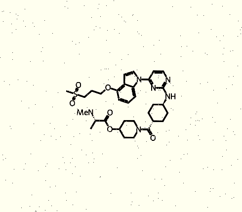 CN[C@@H](C)C(=O)OC1CCN(C(=O)[C@H]2CC[C@H](Nc3nccc(-n4ccc5c(OCCCS(C)(=O)=O)cccc54)n3)CC2)CC1